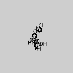 CC(C)(C)CC(NS(=O)(=O)N1CCC(Oc2cccc(Cl)n2)CC1)C(=O)NO